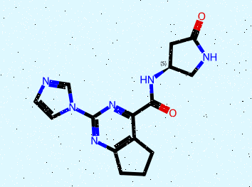 O=C1C[C@H](NC(=O)c2nc(-n3ccnc3)nc3c2CCC3)CN1